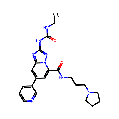 CCNC(=O)Nc1nc2cc(-c3cccnc3)cc(C(=O)NCCCN3CCCC3)n2n1